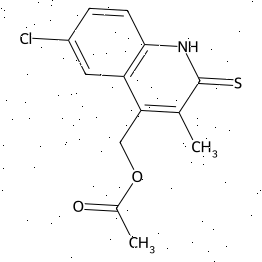 CC(=O)OCc1c(C)c(=S)[nH]c2ccc(Cl)cc12